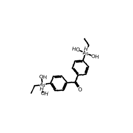 CC[AsH](O)(O)c1ccc(C(=O)c2ccc([AsH](O)(O)CC)cc2)cc1